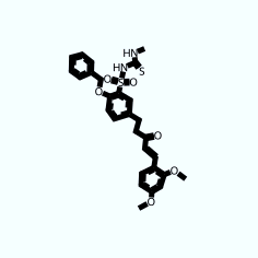 CNC(=S)NS(=O)(=O)c1cc(CCC(=O)/C=C/c2ccc(OC)cc2OC)ccc1OCc1ccccc1